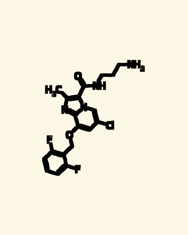 Cc1nc2c(OCc3c(F)cccc3F)cc(Cl)cn2c1C(=O)NCCCN